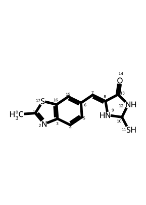 Cc1nc2ccc(/C=C3\NC(S)NC3=O)cc2s1